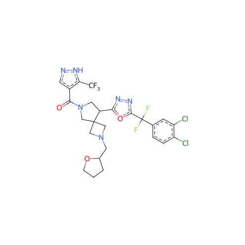 O=C(c1cn[nH]c1C(F)(F)F)N1CC(c2nnc(C(F)(F)c3ccc(Cl)c(Cl)c3)o2)C2(CN(CC3CCCO3)C2)C1